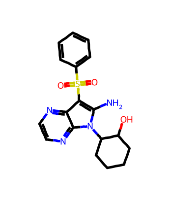 Nc1c(S(=O)(=O)c2ccccc2)c2nccnc2n1C1CCCCC1O